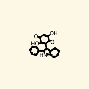 O=C1C=C(O)C(=O)C(c2c(-c3ccccc3)[nH]c3ccccc23)=C1O